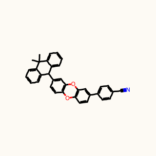 CC1(C)c2ccccc2C(c2ccc3c(c2)Oc2cc(-c4ccc(C#N)cc4)ccc2O3)c2ccccc21